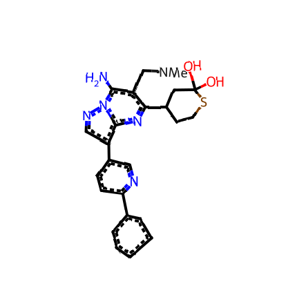 CNCc1c(C2CCSC(O)(O)C2)nc2c(-c3ccc(-c4ccccc4)nc3)cnn2c1N